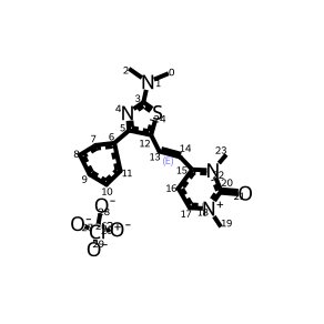 CN(C)c1nc(-c2ccccc2)c(/C=C/c2cc[n+](C)c(=O)n2C)s1.[O-][Cl+3]([O-])([O-])[O-]